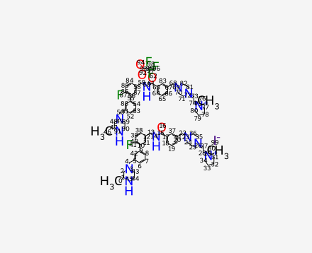 C[C@H]1CN(Cc2cccc(-c3cc(CNC(=O)c4cccc(CN5CCN(CC[N+]6(C)CCCC6)CC5)c4)ccc3F)c2)CCN1.C[C@H]1CN(Cc2cccc(-c3cc(CNC(=O)c4cccc(CN5CCN(CC[N+]6(C)CCCC6)CC5)c4)ccc3F)c2)CCN1.O=C([O-])C(F)(F)F.[I-]